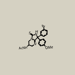 COc1ccc(C2(c3cccc(Br)c3)NC(=S)N3CC(NC(C)=O)CN=C32)cc1